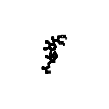 C=C(CC)C(=O)c1ccc(OC2(C(=O)NCCC(=O)O)CCC2)c(Cl)c1Cl